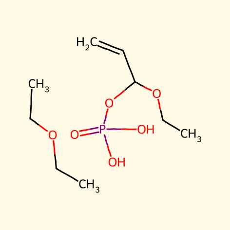 C=CC(OCC)OP(=O)(O)O.CCOCC